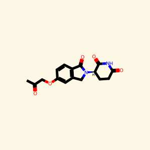 CC(=O)COc1ccc2c(c1)CN([C@@H]1CCC(=O)NC1=O)C2=O